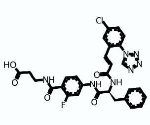 O=C(O)CCNC(=O)c1ccc(NC(=O)[C@H](Cc2ccccc2)NC(=O)C=Cc2cc(Cl)ccc2-n2cnnn2)cc1F